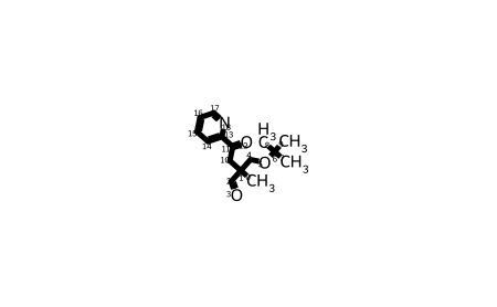 CC(C=O)(COC(C)(C)C)CC(=O)c1ccccn1